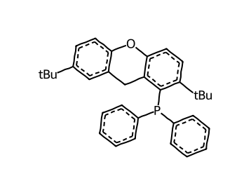 CC(C)(C)c1ccc2c(c1)Cc1c(ccc(C(C)(C)C)c1P(c1ccccc1)c1ccccc1)O2